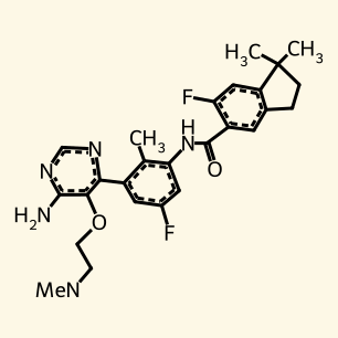 CNCCOc1c(N)ncnc1-c1cc(F)cc(NC(=O)c2cc3c(cc2F)C(C)(C)CC3)c1C